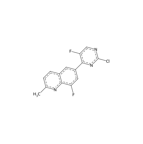 Cc1ccc2cc(-c3nc(Cl)ncc3F)cc(F)c2n1